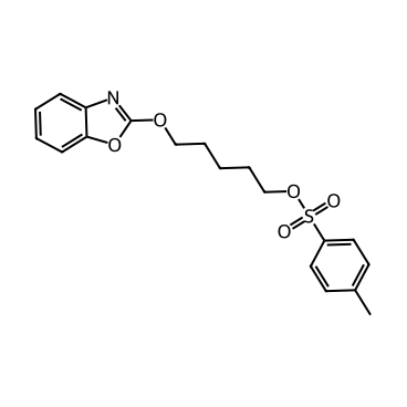 Cc1ccc(S(=O)(=O)OCCCCCOc2nc3ccccc3o2)cc1